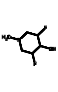 CN1CC(F)C(O)C(F)C1